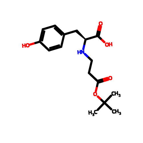 CC(C)(C)OC(=O)CCN[C@@H](Cc1ccc(O)cc1)C(=O)O